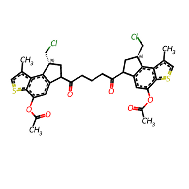 CC(=O)Oc1cc2c(c3c(C)csc13)[C@H](CCl)CC2C(=O)CCCC(=O)C1C[C@@H](CCl)c2c1cc(OC(C)=O)c1scc(C)c21